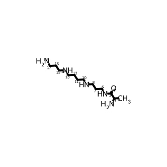 CC(N)C(=O)NCCCNCCCCNCCCN